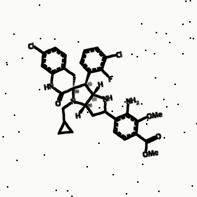 COC(=O)c1ccc(C2C[C@H]3[C@@H](N2)[C@H](c2cccc(Cl)c2F)[C@@]2(Cc4ccc(Cl)cc4NC2=O)N3CC2CC2)c(N)c1OC